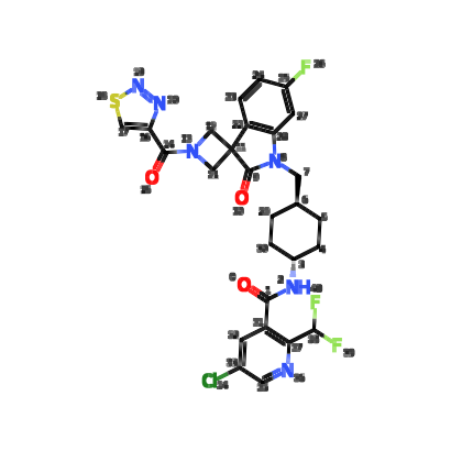 O=C(N[C@H]1CC[C@H](CN2C(=O)C3(CN(C(=O)c4csnn4)C3)c3ccc(F)cc32)CC1)c1cc(Cl)cnc1C(F)F